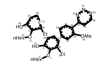 CCCCCCOc1c(O)cccc1CC.CCCCCCOc1c(O)cccc1CC.COc1ccccc1-c1ccnnn1